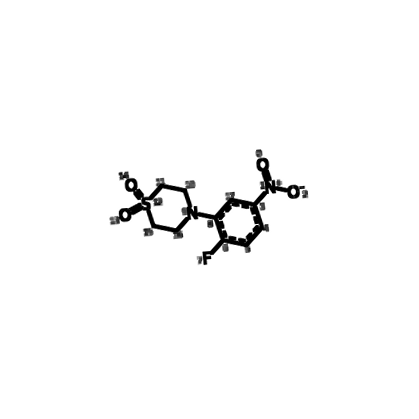 O=[N+]([O-])c1ccc(F)c(N2CCS(=O)(=O)CC2)c1